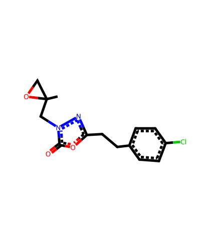 CC1(Cn2nc(CCc3ccc(Cl)cc3)oc2=O)CO1